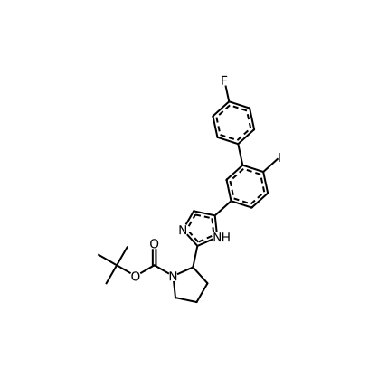 CC(C)(C)OC(=O)N1CCCC1c1ncc(-c2ccc(I)c(-c3ccc(F)cc3)c2)[nH]1